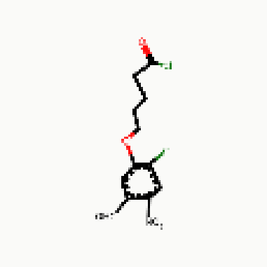 O=Cc1cc(OCCCCC(=O)Cl)c(Cl)cc1[N+](=O)[O-]